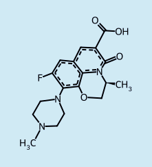 C[C@H]1COc2c(N3CCN(C)CC3)c(F)cc3cc(C(=O)O)c(=O)n1c23